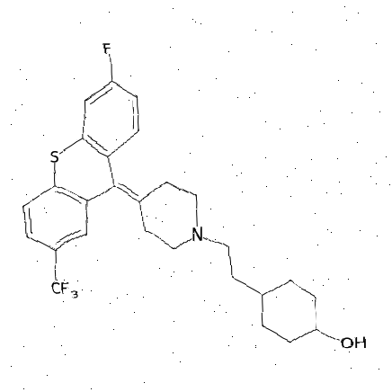 OC1CCC(CCN2CCC(=C3c4ccc(F)cc4Sc4ccc(C(F)(F)F)cc43)CC2)CC1